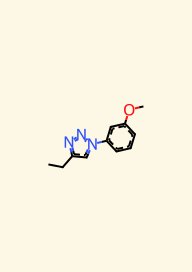 CCc1cn(-c2cccc(OC)c2)nn1